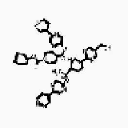 CCc1cnc(N2CCC([C@H](C)Oc3cnc(-c4ccnnc4)cn3)CC2)nc1.C[C@H](Oc1cnc(-c2ccnnc2)cn1)C1CCN(C(=O)Oc2ccccc2)CC1